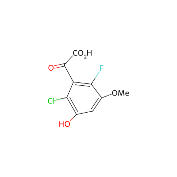 COc1cc(O)c(Cl)c(C(=O)C(=O)O)c1F